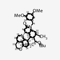 COc1cc(Cn2c(=O)ccc3c(-c4ccc5c6c(ccnc46)CCO5)c([C@H](OC(C)(C)C)C(=O)O)c(C)cc32)cc(OC)c1